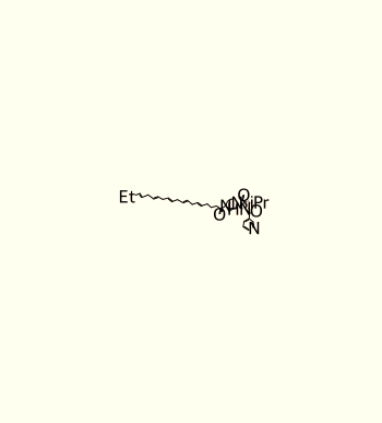 CCC=CCC=CCC=CCC=CCC=CCCCC(=O)N1CCN(C(=O)[C@@H](NC(=O)c2cccnc2)C(C)C)CC1